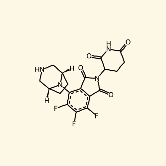 O=C1CCC(N2C(=O)c3c(F)c(F)c(F)c(N4[C@@H]5CC[C@H]4CNC5)c3C2=O)C(=O)N1